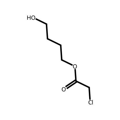 O=C(CCl)OCCCCO